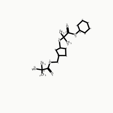 O=C(OCC1CCC(OC(C(=O)OC2CCCCC2)(C(F)(F)F)C(F)(F)F)C1)C(O)(C(F)(F)F)C(F)(F)F